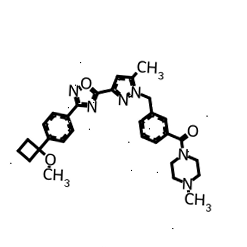 COC1(c2ccc(-c3noc(-c4cc(C)n(Cc5cccc(C(=O)N6CCN(C)CC6)c5)n4)n3)cc2)CCC1